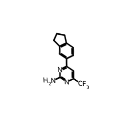 Nc1nc(-c2ccc3c(c2)CCC3)cc(C(F)(F)F)n1